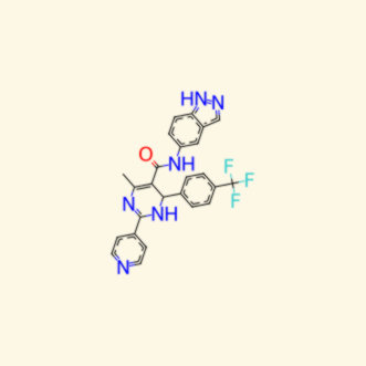 CC1=C(C(=O)Nc2ccc3[nH]ncc3c2)C(c2ccc(C(F)(F)F)cc2)NC(c2ccncc2)=N1